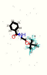 O=C(NCCOC(C(F)(F)F)(C(F)(F)F)C(F)(F)F)c1ccccc1